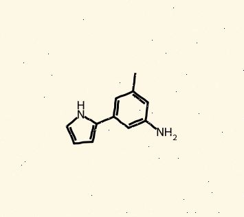 Cc1cc(N)cc(-c2ccc[nH]2)c1